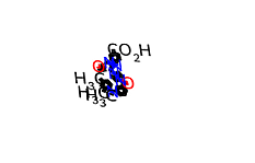 Cc1ccc(N(C)c2cccc(C(=O)N3CCN(Cc4nc5ccc(C(=O)O)cc5n4C[C@@H]4CCO4)CC3)c2)c(C)c1